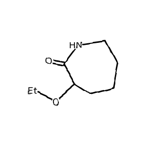 CCOC1CCCCNC1=O